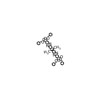 CC12CCC(C)(c3cc4nc5cc(C(=O)OCc6ccccc6)c(C(=O)OCc6ccccc6)cc5nc4cc31)c1cc3nc4cc(C(=O)OCc5ccccc5)c(C(=O)OCc5ccccc5)cc4nc3cc12